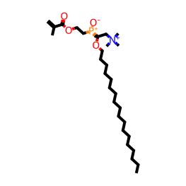 C=C(C)C(=O)OCC[P+]([O-])=C(C[N+](C)(C)C)OCCCCCCCCCCCCCCCCCC